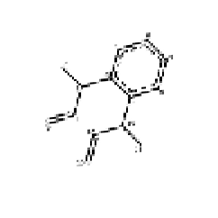 C=CC(C)c1ccccc1C(C)C=C